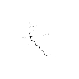 CCCCCCCCCCCCOCCCC(O)C(O)(O)COP(=O)([O-])[O-].[Na+].[Na+]